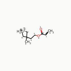 C=CC(=O)OCCC(C)(CC)CC